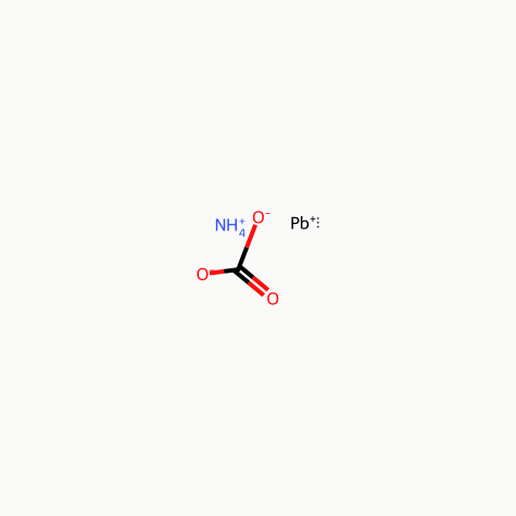 O=C([O-])[O-].[NH4+].[Pb+]